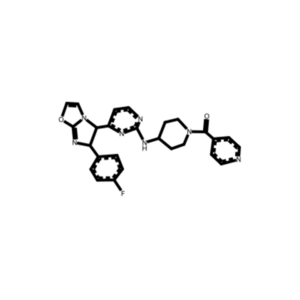 O=C(c1ccncc1)N1CCC(Nc2nccc(C3C(c4ccc(F)cc4)N=C4OC=CN43)n2)CC1